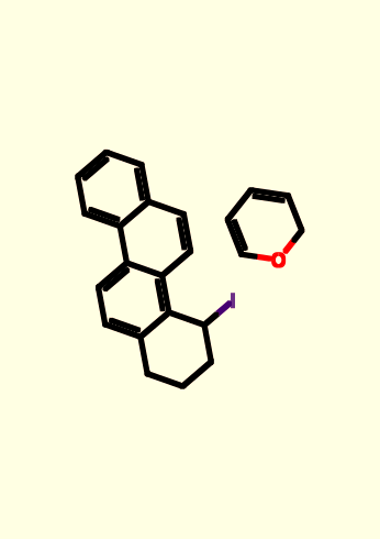 C1=CCOC=C1.IC1CCCc2ccc3c(ccc4ccccc43)c21